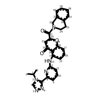 CC(C)n1cnnc1-c1cccc(Nc2cccc3oc(C(=O)N4CCc5ccccc5C4)cc(=O)c23)n1